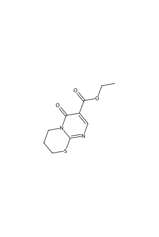 CCOC(=O)c1cnc2n(c1=O)CCCS2